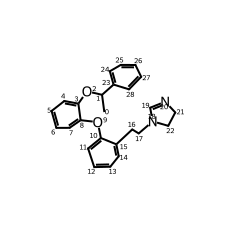 CC(Oc1ccccc1Oc1ccccc1CCN1C=NCC1)c1ccccc1